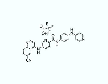 N#Cc1ccc2nccc(Nc3ccc(C(=O)Nc4ccc(Nc5ccncc5)cc4)nc3)c2c1.O=C(O)C(F)(F)F